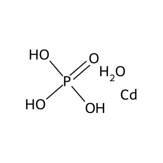 O.O=P(O)(O)O.[Cd]